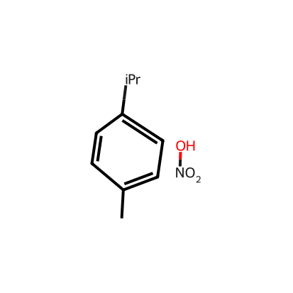 Cc1ccc(C(C)C)cc1.O=[N+]([O-])O